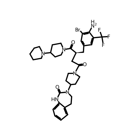 Nc1c(Br)cc(C[C@@H](CC(=O)N2CCC(N3CCc4ccccc4NC3=O)CC2)C(=O)N2CCC(N3CCCCC3)CC2)cc1C(F)(F)F